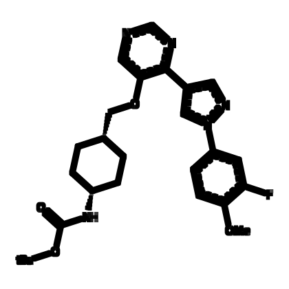 COc1ccc(-n2cc(-c3ncncc3OC[C@H]3CC[C@@H](NC(=O)OC(C)(C)C)CC3)cn2)cc1F